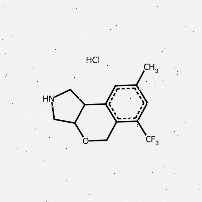 Cc1cc2c(c(C(F)(F)F)c1)COC1CNCC21.Cl